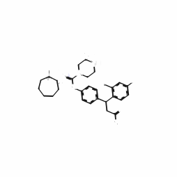 C[C@@H]1CCCCC[C@H]1/N=C(\Nc1ccc(C(CC(N)=O)c2ccc(Cl)cc2Cl)cc1)N1CCN[C@@H](C)C1